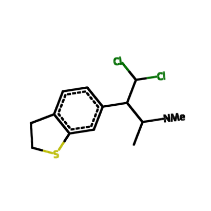 CNC(C)C(c1ccc2c(c1)SCC2)C(Cl)Cl